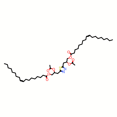 CCCCCCCC/C=C\CCCCCCCC(=O)OCC(Cc1nnc(CC(COC(=O)CCCCCCC/C=C\CCCCCCCC)OC(C)=O)s1)OC(C)=O